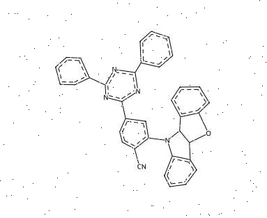 N#Cc1ccc(-c2nc(-c3ccccc3)nc(-c3ccccc3)n2)cc1N1c2ccccc2C2Oc3ccccc3C21